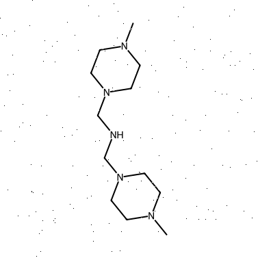 CN1CCN(CNCN2CCN(C)CC2)CC1